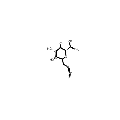 CC(C)[C@@H]1OC(CN=[N+]=[N-])[C@@H](O)[C@H](O)C1O